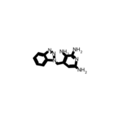 Nc1cc(Cn2nnc3ccccc32)c(N)c(N)n1